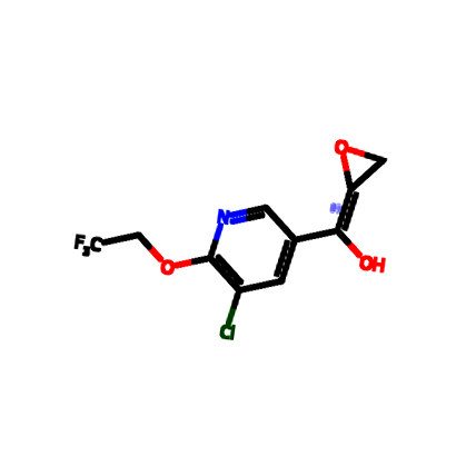 O/C(=C1\CO1)c1cnc(OCC(F)(F)F)c(Cl)c1